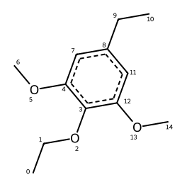 CCOc1c(OC)cc(CC)cc1OC